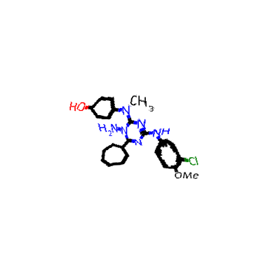 COc1ccc(NC2=NC(N(C)C3CCC(O)CC3)N(N)C(C3CCCCCC3)=N2)cc1Cl